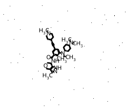 CCN(c1cc(C#CC2CCN(C)CC2)cc(C(=O)NC2COCc3c(C)n[nH]c32)c1C)[C@H]1CC[C@H](N(C)C)CC1